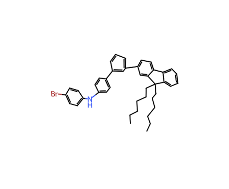 CCCCCCC1(CCCCCC)c2ccccc2-c2ccc(-c3cccc(-c4ccc(Nc5ccc(Br)cc5)cc4)c3)cc21